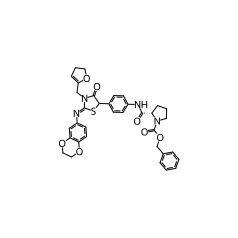 O=C(Nc1ccc(C2S/C(=N\c3ccc4c(c3)OCCO4)N(CC3=CCCO3)C2=O)cc1)[C@@H]1CCCN1C(=O)OCc1ccccc1